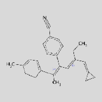 CC/C(C=C1CC1)=C\C(=C(/C)C1=CC=C(C)CC1)c1ccc(C#N)cc1